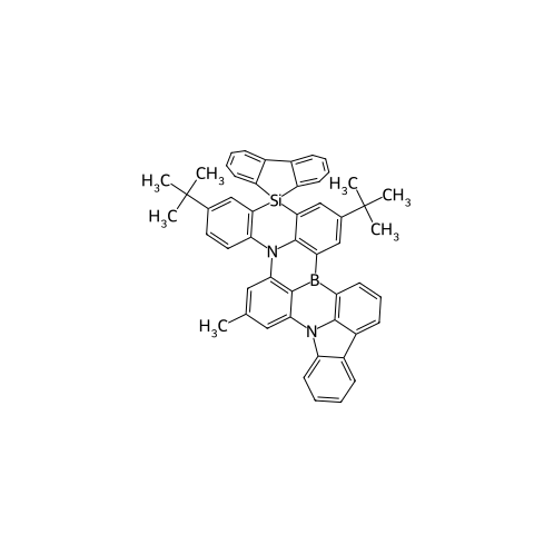 Cc1cc2c3c(c1)-n1c4ccccc4c4cccc(c41)B3c1cc(C(C)(C)C)cc3c1N2c1ccc(C(C)(C)C)cc1[Si]31c2ccccc2-c2ccccc21